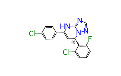 Fc1cccc(Cl)c1[C@H]1C=C(c2ccc(Cl)cc2)Nc2ncnn21